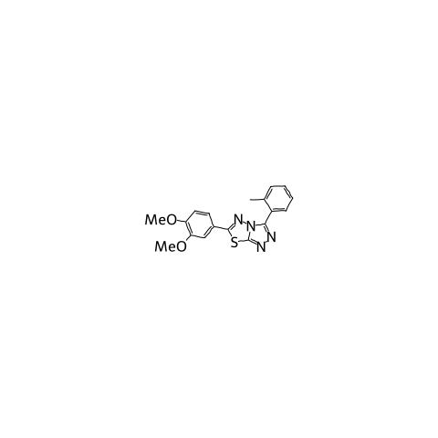 COc1ccc(-c2nn3c(-c4ccccc4C)nnc3s2)cc1OC